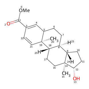 COC(=O)C1=CC2CC[C@H]3[C@@H]4CC[C@H](O)[C@@]4(C)CC[C@@H]3[C@@]2(C)C=C1